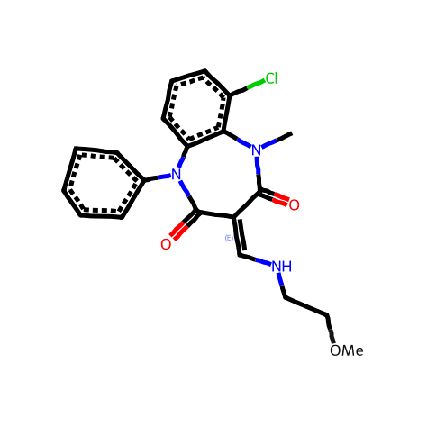 COCCN/C=C1\C(=O)N(C)c2c(Cl)cccc2N(c2ccccc2)C1=O